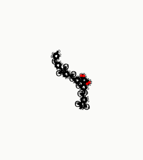 Cc1ccc(Oc2ccc(N3C(=O)c4ccc(C(=O)Oc5ccc6c(c5)Oc5cc(OC(=O)c7ccc8c(c7)C(=O)N(C)C8=O)ccc5C65c6ccccc6-c6ccccc65)cc4C3=O)cc2)cc1